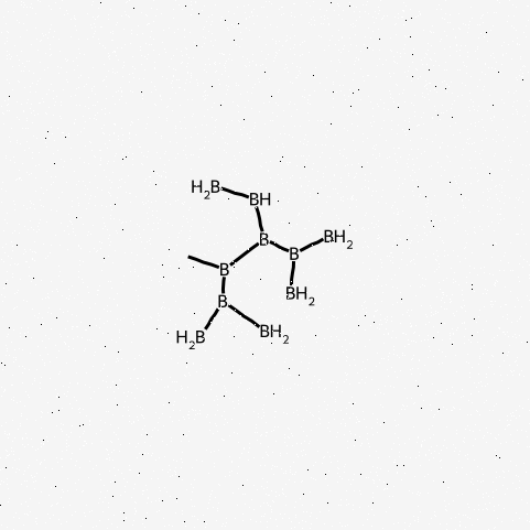 BBB(B(B)B)B(C)B(B)B